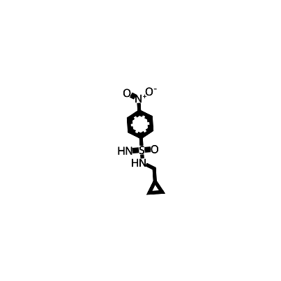 N=S(=O)(NCC1CC1)c1ccc([N+](=O)[O-])cc1